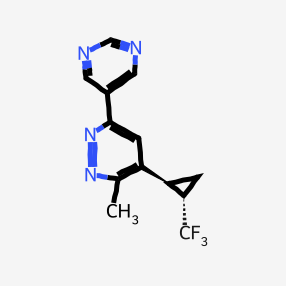 Cc1nnc(-c2cncnc2)cc1[C@H]1C[C@@H]1C(F)(F)F